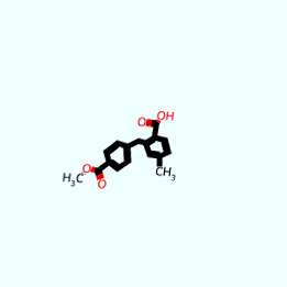 COC(=O)c1ccc(Cc2cc(C)ccc2C(=O)O)cc1